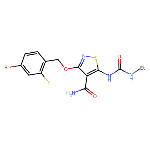 CCNC(=O)Nc1snc(OCc2ccc(Br)cc2F)c1C(N)=O